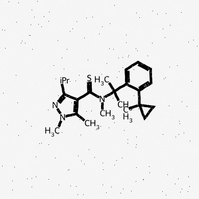 Cc1c(C(=S)N(C)C(C)(C)c2ccccc2C2(C)CC2)c(C(C)C)nn1C